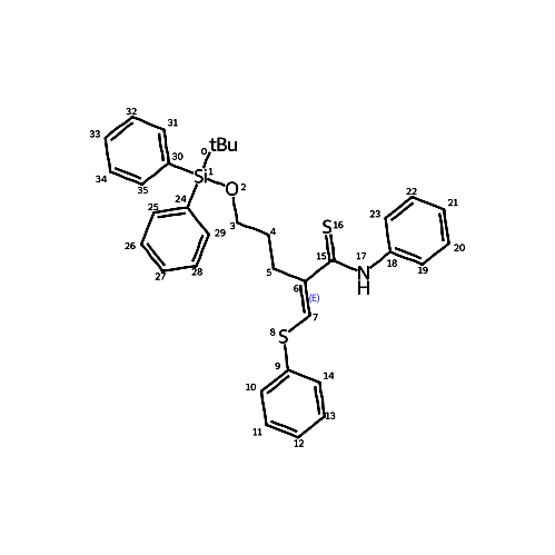 CC(C)(C)[Si](OCCC/C(=C\Sc1ccccc1)C(=S)Nc1ccccc1)(c1ccccc1)c1ccccc1